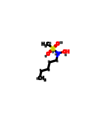 CCCCCN(O)S(C)(=O)=O